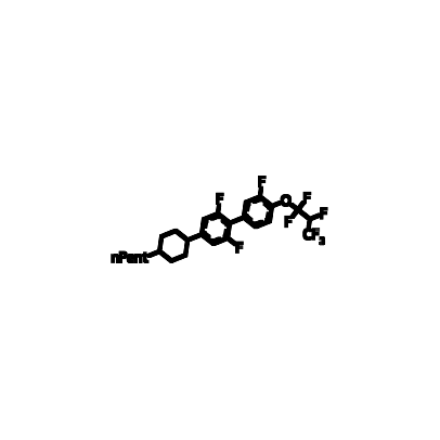 CCCCCC1CCC(c2cc(F)c(-c3ccc(OC(F)(F)C(F)C(F)(F)F)c(F)c3)c(F)c2)CC1